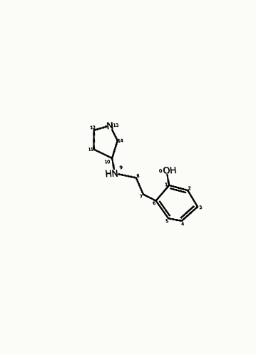 Oc1ccccc1CCNC1CC[N]C1